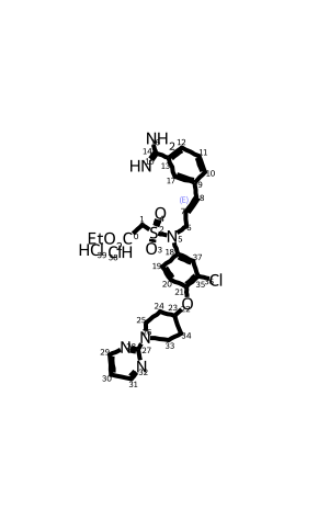 CCOC(=O)CS(=O)(=O)N(C/C=C/c1cccc(C(=N)N)c1)c1ccc(OC2CCN(c3ncccn3)CC2)c(Cl)c1.Cl.Cl